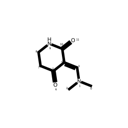 CN(C)/C=C1\C(=O)CCNC1=O